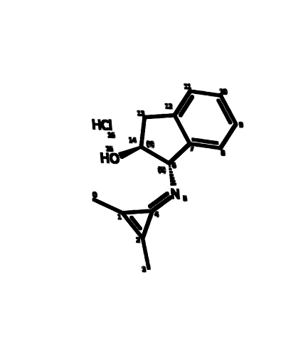 Cc1c(C)c1=N[C@H]1c2ccccc2C[C@@H]1O.Cl